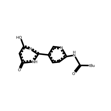 CC(C)(C)C(=O)Nc1ccc(-c2nc(O)cc(=O)[nH]2)cn1